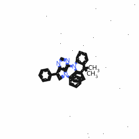 CC1(C)c2ccccc2N(c2ncnc3c(-c4ccccc4)cn(-c4ccccc4)c23)c2ccccc21